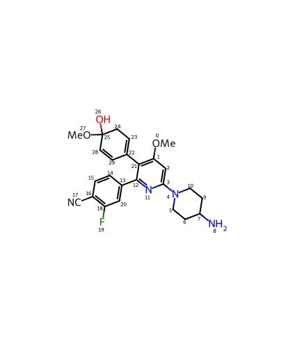 COc1cc(N2CCC(N)CC2)nc(-c2ccc(C#N)c(F)c2)c1C1=CCC(O)(OC)C=C1